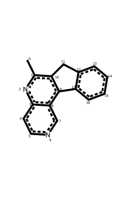 Cc1nc2ccncc2c2c1Cc1ccccc1-2